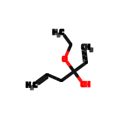 C=CCC(O)(C=C)OCC